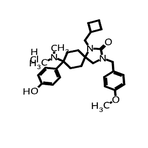 COc1ccc(CN2CC3(CCC(c4ccc(O)cc4)(N(C)C)CC3)N(CC3CCC3)C2=O)cc1.Cl